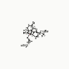 CCOC(=O)[C@@H]1CC1CN1CC[C@@]23C4C5=C(O[Si](C)(C)C(C)(C)C)C=CC4C[C@@H]1[C@]2(O)CCC(=O)[C@@H]3O5